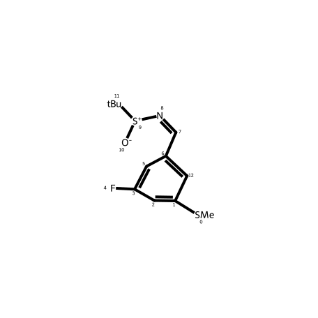 CSc1cc(F)cc(/C=N\[S+]([O-])C(C)(C)C)c1